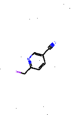 N#Cc1ccc(CI)nc1